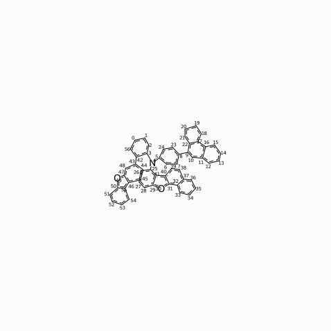 c1ccc(N(c2ccc(-c3cc4ccccc4c4ccccc34)cc2)c2cccc3oc4c5ccccc5ccc4c23)c(-c2ccc3c(c2)oc2ccccc23)c1